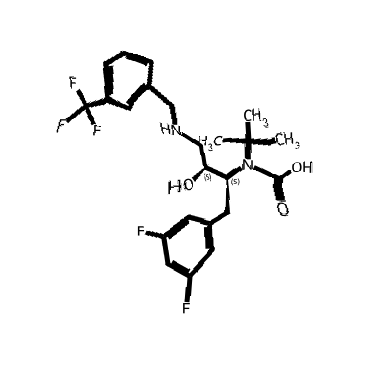 CC(C)(C)N(C(=O)O)[C@@H](Cc1cc(F)cc(F)c1)[C@@H](O)CNCc1cccc(C(F)(F)F)c1